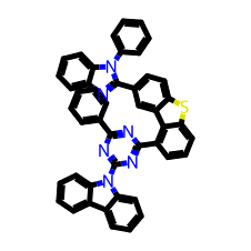 c1ccc(-c2nc(-c3cccc4sc5ccc(-c6nc7ccccc7n6-c6ccccc6)cc5c34)nc(-n3c4ccccc4c4ccccc43)n2)cc1